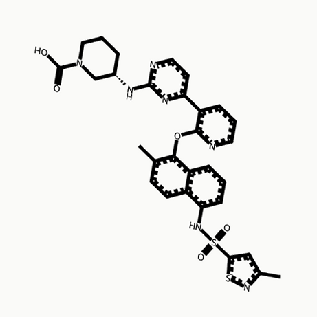 Cc1cc(S(=O)(=O)Nc2cccc3c(Oc4ncccc4-c4ccnc(N[C@H]5CCCN(C(=O)O)C5)n4)c(C)ccc23)sn1